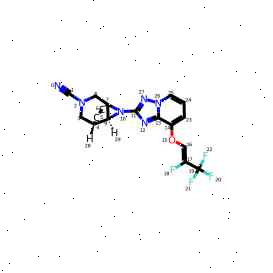 N#CN1C[C@@H]2CC[C@]3(C1)[C@H]2N3c1nc2c(O/C=C(\F)C(F)(F)F)cccn2n1